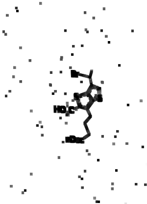 CCCCCCCCCCCCCc1c(C(=O)O)sc2c(C(C)Br)csc12